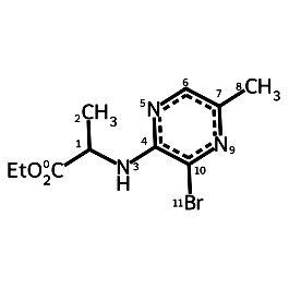 CCOC(=O)C(C)Nc1ncc(C)nc1Br